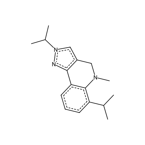 CC(C)c1cccc2c1N(C)Cc1cn(C(C)C)nc1-2